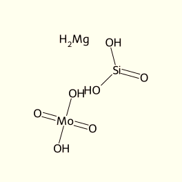 O=[Si](O)O.[MgH2].[O]=[Mo](=[O])([OH])[OH]